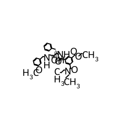 CCCN(CCC)C(=O)c1cc(C(=O)N[C@@H](Cc2ccccc2)[C@@H](O)CNCc2cccc(OC)c2)cc(C(=O)OCC)c1